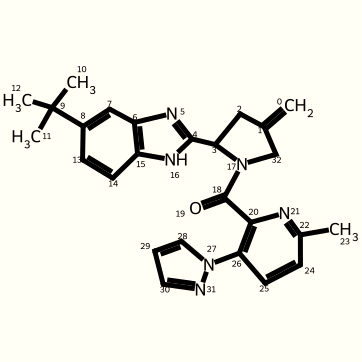 C=C1CC(c2nc3cc(C(C)(C)C)ccc3[nH]2)N(C(=O)c2nc(C)ccc2-n2cccn2)C1